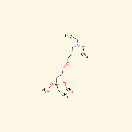 CCN(CC)CCCOCCC[Si](CC)(OC)OC